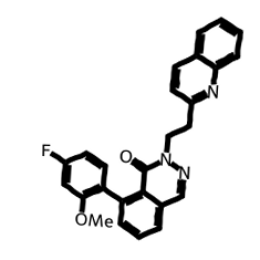 COc1cc(F)ccc1-c1cccc2cnn(CCc3ccc4ccccc4n3)c(=O)c12